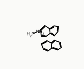 NP.c1ccc2ccccc2c1.c1ccc2ccccc2c1